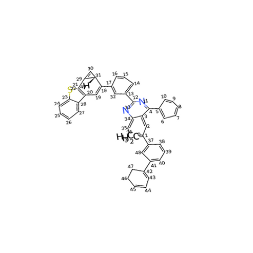 C=C(/C=c1/c(-c2ccccc2)nc(-c2cccc(C3=Cc4c(sc5ccccc45)C4=C[C@H]34)c2)n/c1=C/C)c1cccc(C2=CC=CCC2)c1